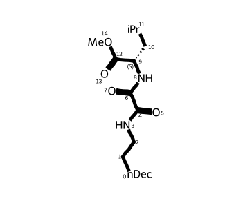 CCCCCCCCCCCCNC(=O)C(=O)N[C@@H](CC(C)C)C(=O)OC